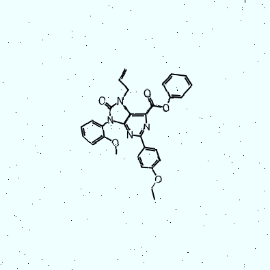 C=CCn1c(=O)n(-c2ccccc2OC)c2nc(-c3ccc(OCC)cc3)nc(C(=O)Oc3ccccc3)c21